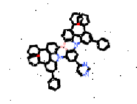 c1ccc(-c2cc(-c3ccccc3)c3c4c(C5CCCCC5)ccc5c4n(c3c2)-c2cc(-c3ccncn3)cc3c2B5c2ccc(C4CCCCC4)c4c5c(-c6ccccc6)cc(-c6ccccc6)cc5n-3c24)cc1